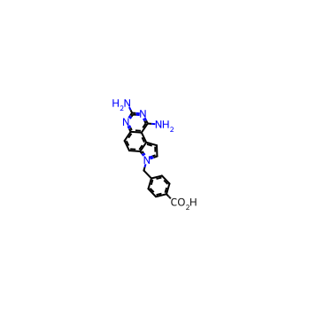 Nc1nc(N)c2c(ccc3c2ccn3Cc2ccc(C(=O)O)cc2)n1